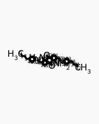 CCCCc1ccc(N=Cc2ccc3c(c2N)C(=O)c2ccc(C=Nc4ccc(CCCC)cc4)c(N)c2C3=O)cc1